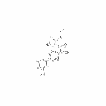 CCOC(=O)c1c(O)c2cc(-c3cccc(OC)c3)cnc2n(O)c1=O